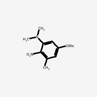 COc1cc(C)c([N+](=O)[O-])c(N(C)C)c1